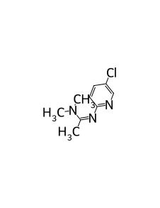 CC(=Nc1ccc(Cl)cn1)N(C)C